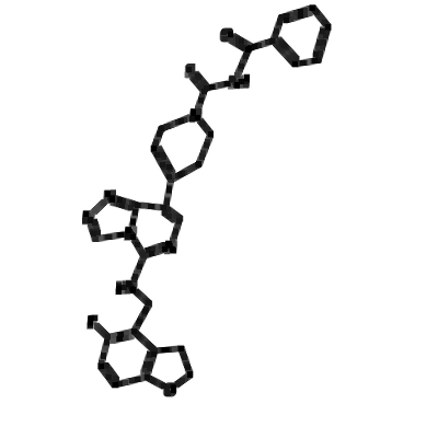 O=C(NC(=S)N1CC=C(c2cnc(NCc3c(F)ccc4c3CCO4)n3cnnc23)CC1)c1ccccc1